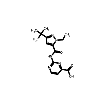 CCn1nc(C(C)(C)C)cc1C(=O)Nc1nccc(C(=O)O)n1